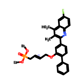 CCOP(=O)(C/C=C/COc1cc(-c2nc3ccc(F)cc3c(C(=O)O)c2C)ccc1-c1ccccc1)OCC